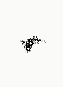 COC(=O)CCC(C)[C@H]1CC[C@H]2[C@@H]3[C@H](OC(C)=O)C[C@@H]4C[C@H](O)CC[C@]4(C)[C@H]3CC(=O)[C@]12C